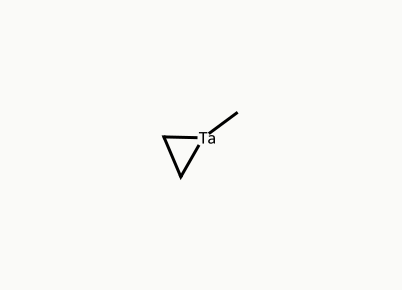 [CH3][Ta]1[CH2][CH2]1